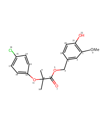 COc1cc(COC(=O)C(C)(C)Oc2ccc(Cl)cc2)ccc1O